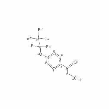 [CH2]CC(=O)c1ccc(OC(F)(F)C(F)(F)F)cc1